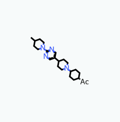 CC(=O)C1CCC(N2CCC(c3cnc(N4CCC(C)CC4)nc3)CC2)CC1